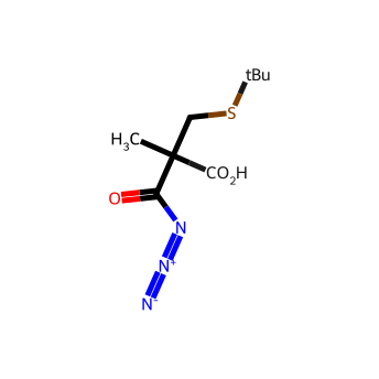 CC(C)(C)SCC(C)(C(=O)O)C(=O)N=[N+]=[N-]